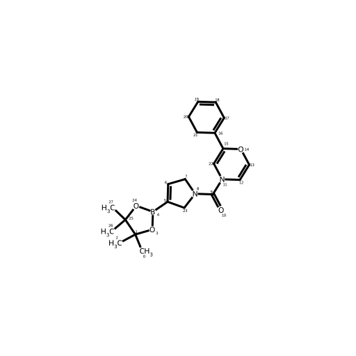 CC1(C)OB(C2=CCN(C(=O)N3C=COC(C4=CC=CCC4)=C3)C2)OC1(C)C